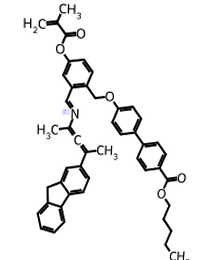 C=C(C)C(=O)Oc1ccc(COc2ccc(-c3ccc(C(=O)OCCCCC)cc3)cc2)c(/C=N/C(C)=C=C(C)c2ccc3c(c2)Cc2ccccc2-3)c1